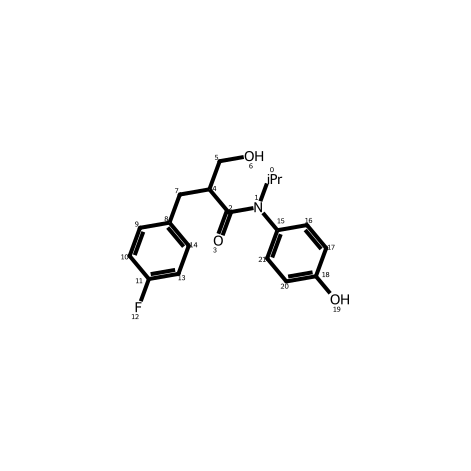 CC(C)N(C(=O)C(CO)Cc1ccc(F)cc1)c1ccc(O)cc1